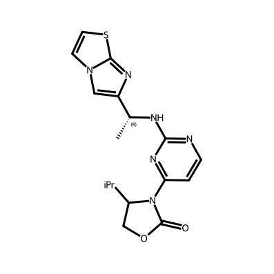 CC(C)C1COC(=O)N1c1ccnc(N[C@H](C)c2cn3ccsc3n2)n1